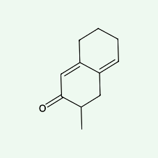 CC1CC2=CCCCC2=CC1=O